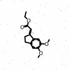 CCOC(=O)/C=C1\CCc2cc(OC)c(OC)cc21